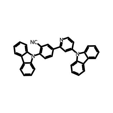 N#Cc1cc(-c2cc(-n3c4ccccc4c4ccccc43)ccn2)ccc1-n1c2ccccc2c2ccccc21